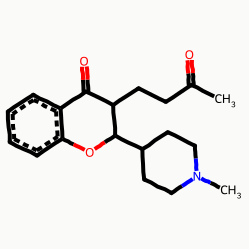 CC(=O)CCC1C(=O)c2ccccc2OC1C1CCN(C)CC1